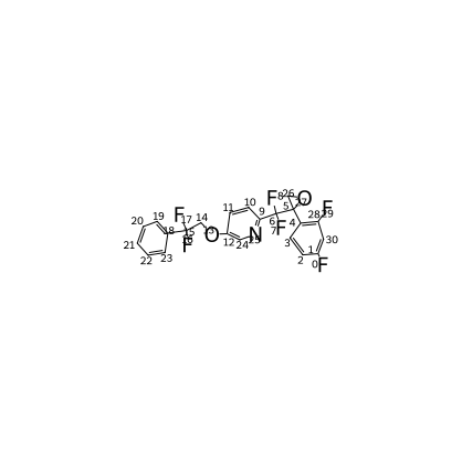 Fc1ccc(C2(C(F)(F)c3ccc(OCC(F)(F)c4ccccc4)cn3)CO2)c(F)c1